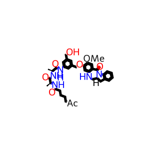 COc1cc2c(cc1OCc1cc(CO)cc(NC(=O)[C@H](C)NC(=O)[C@H](C)NC(=O)CCCCC(C)=O)c1)NC[C@@H]1Cc3ccccc3N1C2=O